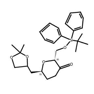 CC1(C)OCC(C[C@@H]2CCC(=O)[C@@H](CO[Si](c3ccccc3)(c3ccccc3)C(C)(C)C)O2)O1